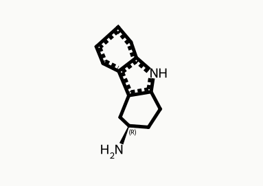 N[C@@H]1CCc2[nH]c3ccccc3c2C1